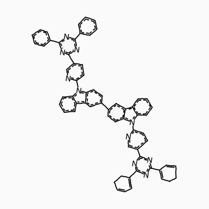 C1=CCCC(c2nc(C3=CCCC=C3)nc(-c3ccc(-n4c5ccccc5c5cc(-c6ccc7c(c6)c6ccccc6n7-c6ccc(-c7nc(-c8ccccc8)nc(-c8ccccc8)n7)cn6)ccc54)nc3)n2)=C1